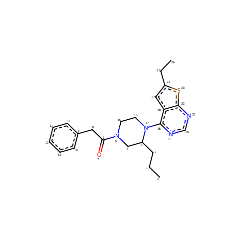 CCCC1CN(C(=O)Cc2ccccc2)CCN1c1ncnc2sc(CC)cc12